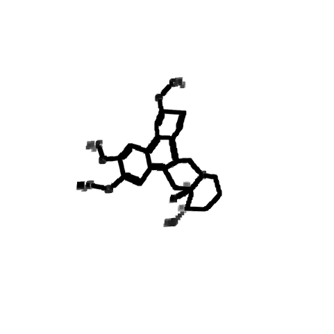 COc1ccc2c3c(c4cc(OC)c(OC)cc4c2c1)C[C@H]1[C@@H](O)CCCN1C3